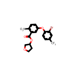 O=C(OC1CCOC1)c1cc(Oc2ccc(C(F)(F)F)cc2Br)ccc1[N+](=O)[O-]